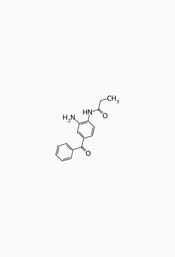 CCC(=O)Nc1ccc(C(=O)c2ccccc2)cc1N